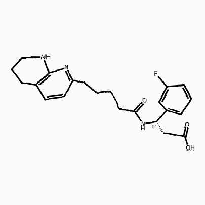 O=C(O)C[C@H](NC(=O)CCCCc1ccc2c(n1)NCCC2)c1cccc(F)c1